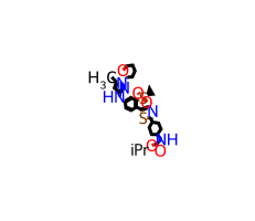 Cc1cc(Nc2ccc(-c3cnc(C4CCC(NC(=O)OC(C)C)CC4)s3)c(S(=O)(=O)C3CC3)c2)nn1C1CCCCO1